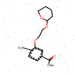 COC(=O)c1ccc([N+](=O)[O-])c(OCCOC2CCCCO2)c1